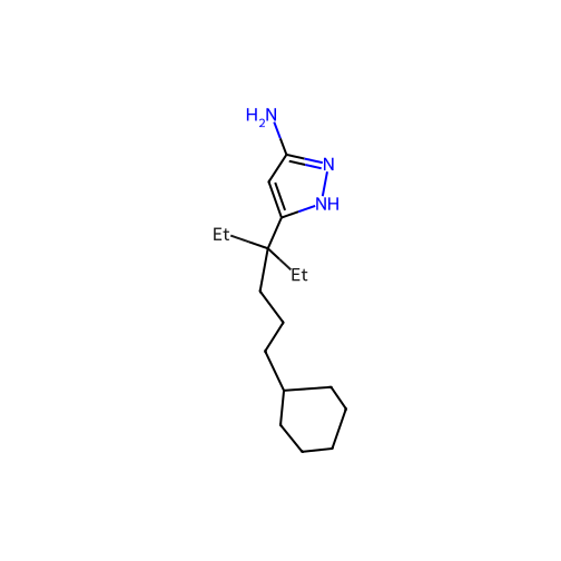 CCC(CC)(CCCC1CCCCC1)c1cc(N)n[nH]1